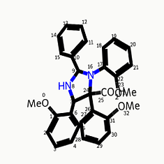 COc1ccccc1C1NC(c2ccccc2)N(c2ccccc2OC)C1(C(=O)O)c1ccccc1OC